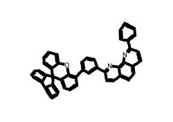 c1ccc(-c2ccc3ccc4ccc(-c5cccc(-c6cccc7c6Oc6ccccc6C76c7ccccc7-c7ccccc76)c5)nc4c3n2)cc1